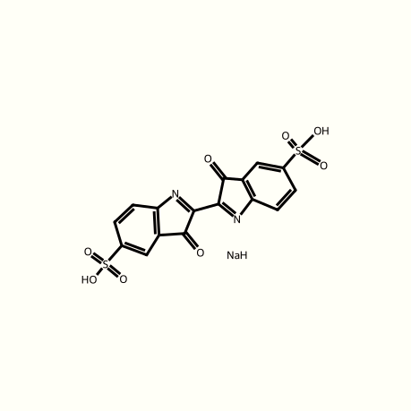 O=C1C(C2=Nc3ccc(S(=O)(=O)O)cc3C2=O)=Nc2ccc(S(=O)(=O)O)cc21.[NaH]